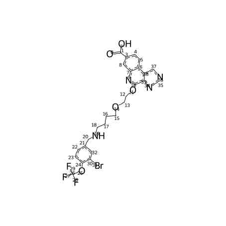 O=C(O)c1ccc2c(c1)nc(OCCOCCCCNCc1ccc(OC(F)(F)F)c(Br)c1)c1ncncc12